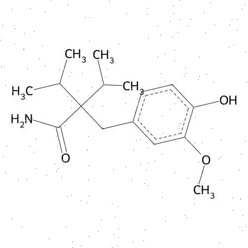 COc1cc(CC(C(N)=O)(C(C)C)C(C)C)ccc1O